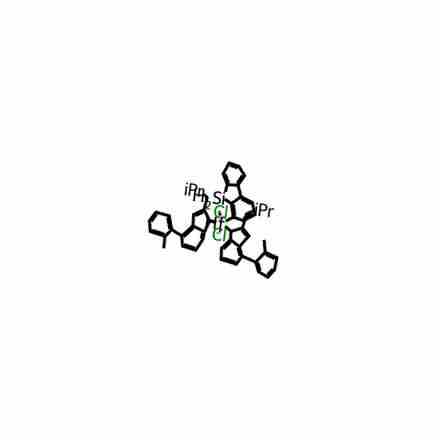 Cc1ccccc1-c1cccc2c1C=C(CC(C)C)[CH]2[Hf]([Cl])([Cl])([c]1cccc2c1[SiH2]c1ccccc1-2)[CH]1C(CC(C)C)=Cc2c(-c3ccccc3C)cccc21